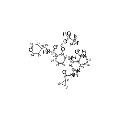 COc1c(Nc2cc(NC(=O)C3CC3)nc3cc[nH]c(=O)c23)cccc1C(=O)NCC1CCOCC1.O=C(O)C(F)(F)F